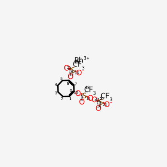 C1=CCCCCC=C1.O=S(=O)([O-])C(F)(F)F.O=S(=O)([O-])C(F)(F)F.O=S(=O)([O-])C(F)(F)F.[Rh+3]